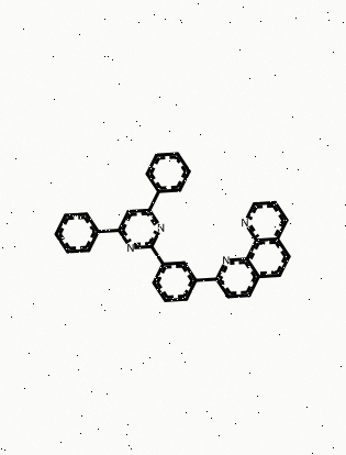 c1ccc(-c2cc(-c3ccccc3)nc(-c3cccc(-c4ccc5ccc6cccnc6c5n4)c3)n2)cc1